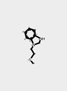 CSCCN1CNc2ccccc21